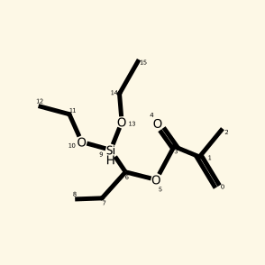 C=C(C)C(=O)OC(CC)[SiH](OCC)OCC